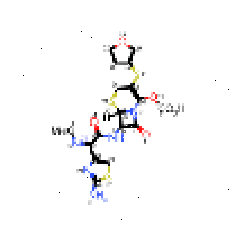 CO/N=C(\C(=O)NC1C(=O)N2C(OC(=O)O)=C(SC3CCOC3)CS[C@@H]12)c1csc(N)n1